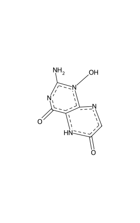 Nc1nc(=O)c2[nH]c(=O)cnc2n1O